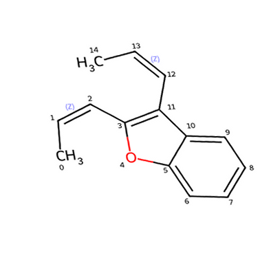 C/C=C\c1oc2ccccc2c1/C=C\C